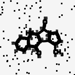 Cc1ccn2c1-c1c([nH]c3ccccc3c1=O)C2=O